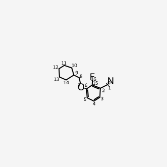 N#Cc1cccc(OCC2CCCCC2)c1F